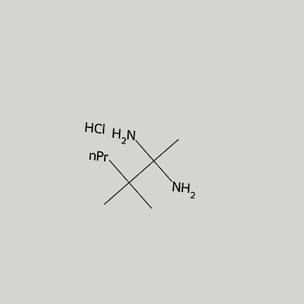 CCCC(C)(C)C(C)(N)N.Cl